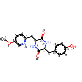 CCCCOc1ccc(CC2NC(=O)C(Cc3ccc(O)cc3)NC2=O)nc1